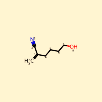 C=C(C#N)CCCCO